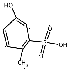 Cc1[c]cc(O)cc1S(=O)(=O)O